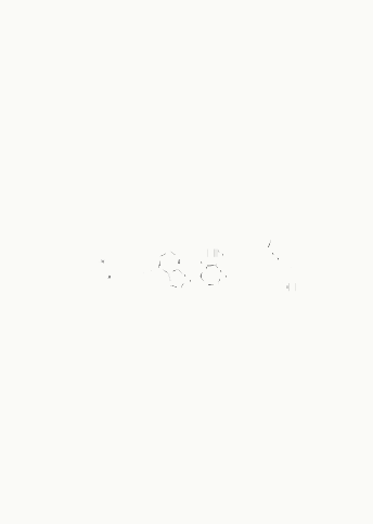 CS(=O)(=O)CCCOc1cccc2c1ccn2-c1ccnc(NC2CCC(C(=O)N3CCC(O)C3)CC2)n1